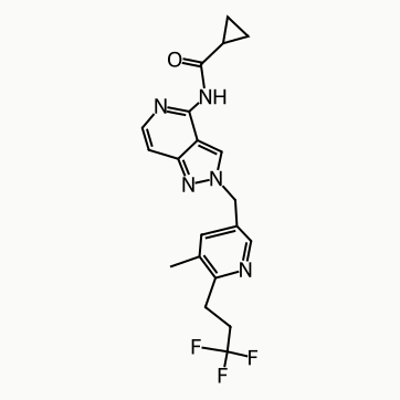 Cc1cc(Cn2cc3c(NC(=O)C4CC4)nccc3n2)cnc1CCC(F)(F)F